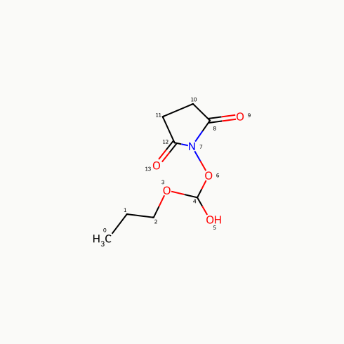 CCCOC(O)ON1C(=O)CCC1=O